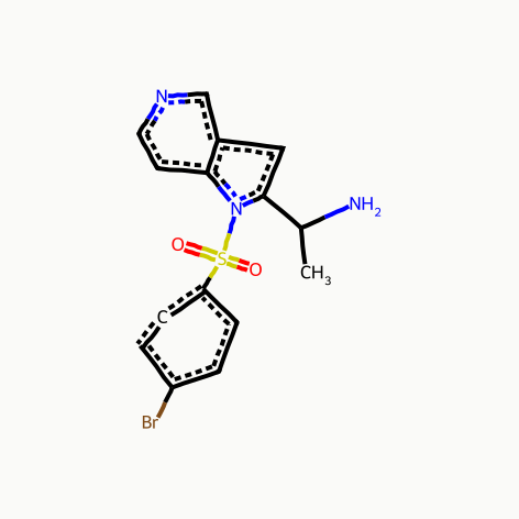 CC(N)c1cc2cnccc2n1S(=O)(=O)c1ccc(Br)cc1